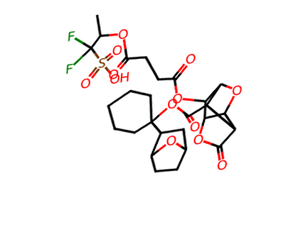 CC(OC(=O)CCC(=O)OC1C2OC(=O)C3C2OC1C3C(=O)OC1(C2CC3CCC2O3)CCCCC1)C(F)(F)S(=O)(=O)O